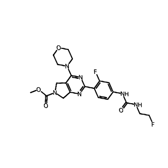 COC(=O)N1Cc2nc(-c3ccc(NC(=O)NCCF)cc3F)nc(N3CCOCC3)c2C1